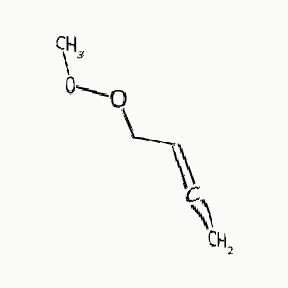 C=C=CCOOC